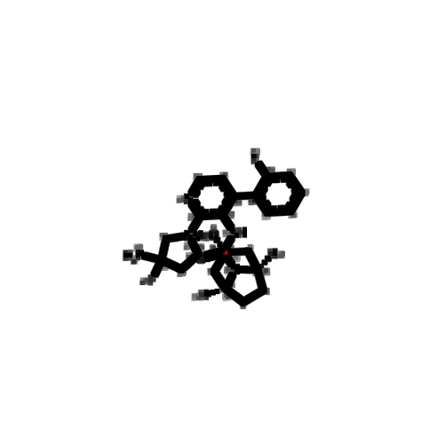 CO[C@@H]1C[C@H]2CC[C@@H](C1)N2C(=O)Nc1c(-c2ccccc2F)ccnc1N1CCC(F)(P)C1